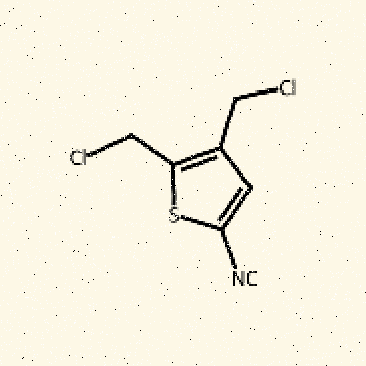 [C-]#[N+]c1cc(CCl)c(CCl)s1